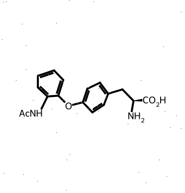 CC(=O)Nc1ccccc1Oc1ccc(C[C@H](N)C(=O)O)cc1